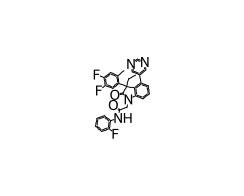 CCC1(c2cc(F)c(F)cc2C)C(=O)N(CC(=O)Nc2ccccc2F)c2cccc(-c3cncnc3)c21